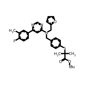 Cc1cc(-c2cc(N(Cc3ccc(SC(C)(C)C(=O)OC(C)(C)C)cc3)Cc3ccco3)ncn2)ccc1F